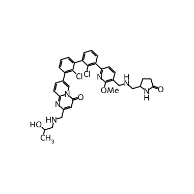 COc1nc(-c2cccc(-c3cccc(-c4ccc5nc(CNCC(C)O)cc(=O)n5c4)c3Cl)c2Cl)ccc1CNCC1CCC(=O)N1